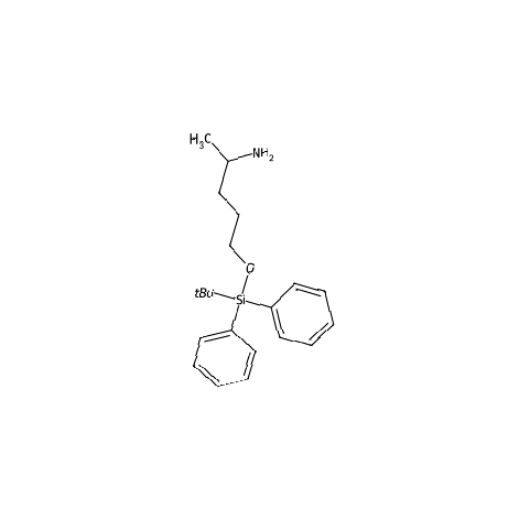 CC(N)CCCO[Si](c1ccccc1)(c1ccccc1)C(C)(C)C